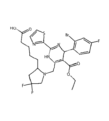 CCOC(=O)C1=C(CN2CC(F)(F)CC2CCCCC(=O)O)NC(c2nccs2)=NC1c1ccc(F)cc1Br